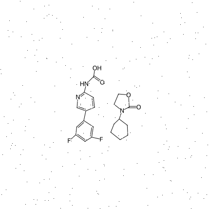 O=C(O)Nc1ccc(-c2cc(F)cc(F)c2)cn1.O=C1OCCN1C1CCCCC1